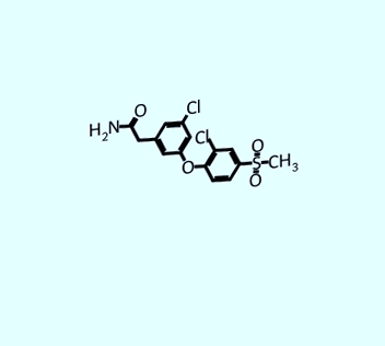 CS(=O)(=O)c1ccc(Oc2cc(Cl)cc(CC(N)=O)c2)c(Cl)c1